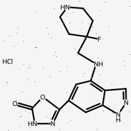 Cl.O=c1[nH]nc(-c2cc(NCC3(F)CCNCC3)c3cn[nH]c3c2)o1